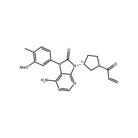 C=CC(=O)N1CC[C@@H](n2c(=O)n(-c3ccc(C)c(OC)c3)c3c(N)ncnc32)C1